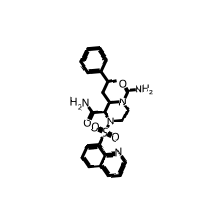 CC(CC1C(C(N)=O)N(S(=O)(=O)c2cccc3cccnc23)CCN1C(N)=O)c1ccccc1